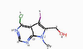 CC(C)n1c(CO)c(I)c2c(Cl)ncnc21